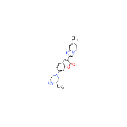 Cc1ccn2cc(-c3cc4ccc(N5CCN[C@@H](C)C5)cc4oc3=O)nc2c1